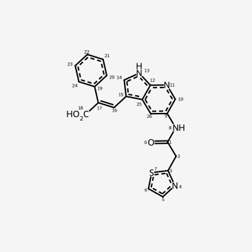 O=C(Cc1nccs1)Nc1cnc2[nH]cc(C=C(C(=O)O)c3ccccc3)c2c1